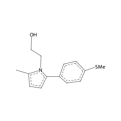 CSc1ccc(-c2ccc(C)n2CCO)cc1